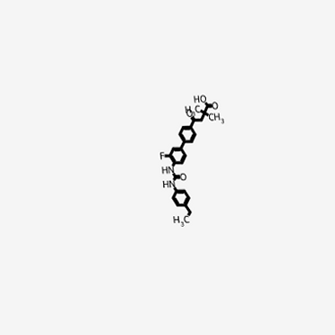 CCc1ccc(NC(=O)Nc2ccc(-c3ccc(C(=O)CC(C)(C)C(=O)O)cc3)cc2F)cc1